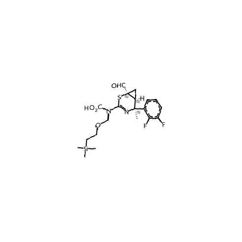 C[C@]1(c2cccc(F)c2F)N=C(N(COCC[Si](C)(C)C)C(=O)O)S[C@@]2(C=O)C[C@H]21